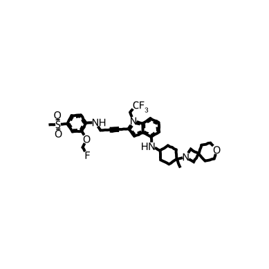 CC1(N2CC3(CCOCC3)C2)CCC(Nc2cccc3c2cc(C#CCNc2ccc(S(C)(=O)=O)cc2OCF)n3CC(F)(F)F)CC1